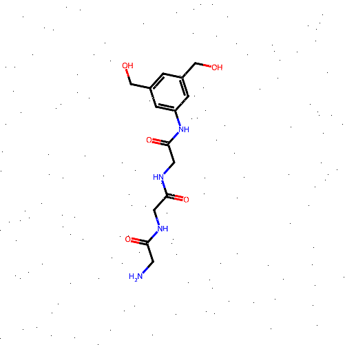 NCC(=O)NCC(=O)NCC(=O)Nc1cc(CO)cc(CO)c1